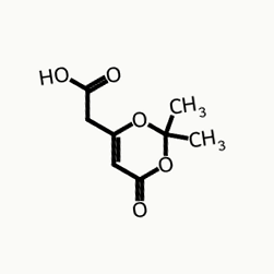 CC1(C)OC(=O)C=C(CC(=O)O)O1